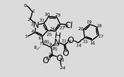 CCCn1c(C)c([C@@H](C)[C@@H](NC(=O)OCc2ccccc2)C(=O)OC)c2cc(Cl)ccc21